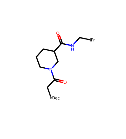 CCCCCCCCCCCC(=O)N1CCCC(C(=O)NCC(C)C)C1